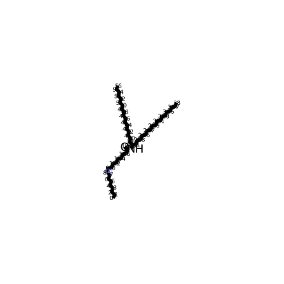 CCCCCCCC/C=C\CCCCCCCC(=O)NC(CCCCCCCCCCCCCCCCCC)CCCCCCCCCCCCCCCCCC